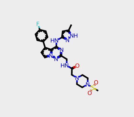 Cc1cc(Nc2nc(CNC(=O)CN3CCN(S(C)(=O)=O)CC3)nn3ccc(-c4ccc(F)cc4)c23)n[nH]1